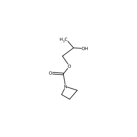 CC(O)COC(=O)N1CCC1